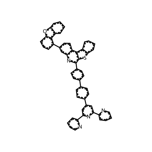 c1ccc(-c2cc(-c3ccc(-c4ccc(-c5nc6cc(-c7cccc8oc9ccccc9c78)ccc6c6c5sc5ccccc56)cc4)cc3)cc(-c3ccccn3)n2)nc1